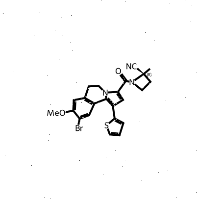 COc1cc2c(cc1Br)-c1c(-c3cccs3)cc(C(=O)N3CC[C@]3(C)C#N)n1CC2